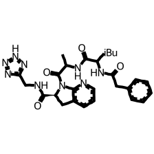 CCC(C)C(NC(=O)Cc1ccccc1)C(=O)NC(C)C(=O)N1c2ncccc2C[C@H]1C(=O)NCc1nn[nH]n1